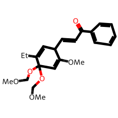 CCC1=CC(/C=C/C(=O)c2ccccc2)C(OC)=CC1(OCOC)OCOC